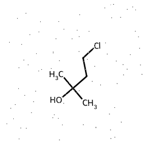 CC(C)(O)CCCl